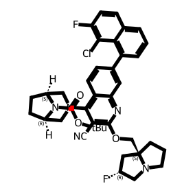 CC(C)(C)OC(=O)N1[C@@H]2CC[C@H]1CN(c1c(C#N)c(OC[C@@]34CCCN3C[C@H](F)C4)nc3cc(-c4cccc5ccc(F)c(Cl)c45)ccc13)C2